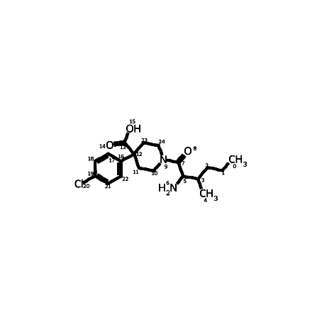 CCCC(C)C(N)C(=O)N1CCC(C(=O)O)(c2ccc(Cl)cc2)CC1